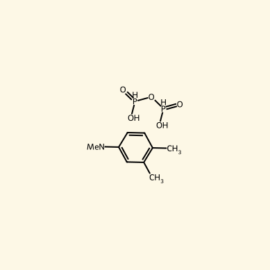 CNc1ccc(C)c(C)c1.O=[PH](O)O[PH](=O)O